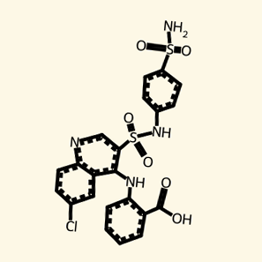 NS(=O)(=O)c1ccc(NS(=O)(=O)c2cnc3ccc(Cl)cc3c2Nc2ccccc2C(=O)O)cc1